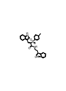 Cc1ccc(S(=O)(=O)C(=Cc2c[nH]c3ccccc23)C(=O)NCCc2c[nH]c3ccccc23)cc1